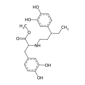 CCC(CCNC(Cc1ccc(O)c(O)c1)C(=O)OC)c1ccc(O)c(O)c1